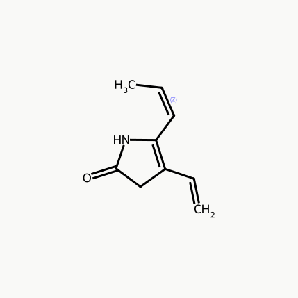 C=CC1=C(/C=C\C)NC(=O)C1